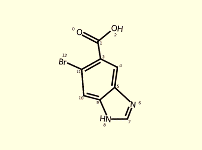 O=C(O)c1cc2nc[nH]c2cc1Br